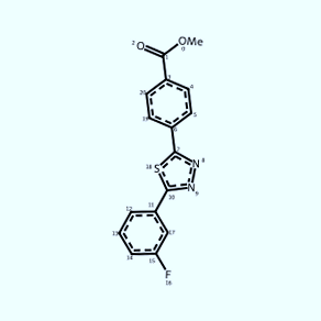 COC(=O)c1ccc(-c2nnc(-c3cccc(F)c3)s2)cc1